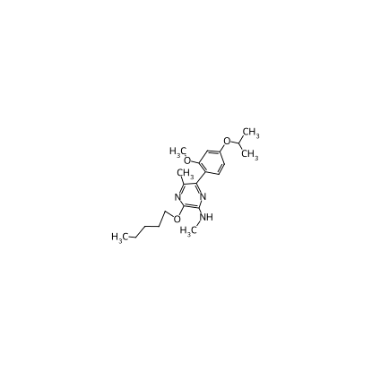 CCCCCOc1nc(C)c(-c2ccc(OC(C)C)cc2OC)nc1NC